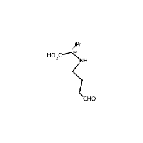 CC(C)[C@H](NCCCC=O)C(=O)O